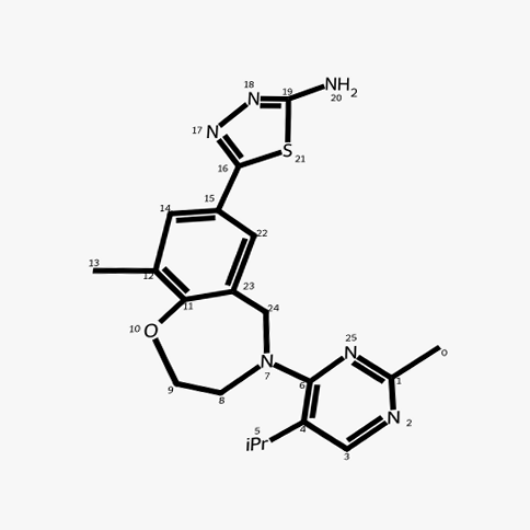 Cc1ncc(C(C)C)c(N2CCOc3c(C)cc(-c4nnc(N)s4)cc3C2)n1